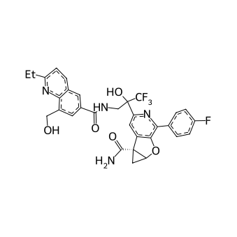 CCc1ccc2cc(C(=O)NCC(O)(c3cc4c(c(-c5ccc(F)cc5)n3)OC3C[C@@]43C(N)=O)C(F)(F)F)cc(CO)c2n1